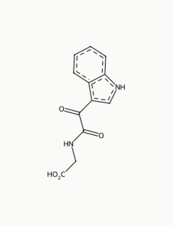 O=C(O)CNC(=O)C(=O)c1c[nH]c2ccccc12